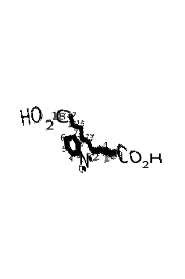 CN(C)c1ccccc1.O=C(O)CCCCCCCCC(=O)O